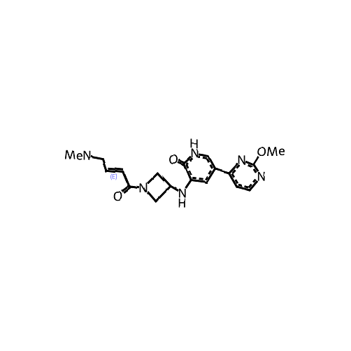 CNC/C=C/C(=O)N1CC(Nc2cc(-c3ccnc(OC)n3)c[nH]c2=O)C1